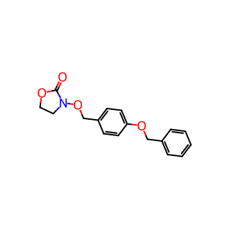 O=C1OCCN1OCc1ccc(OCc2ccccc2)cc1